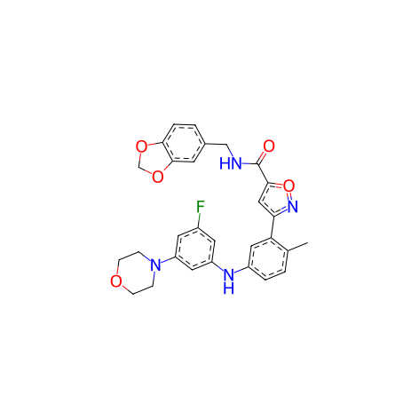 Cc1ccc(Nc2cc(F)cc(N3CCOCC3)c2)cc1-c1cc(C(=O)NCc2ccc3c(c2)OCO3)on1